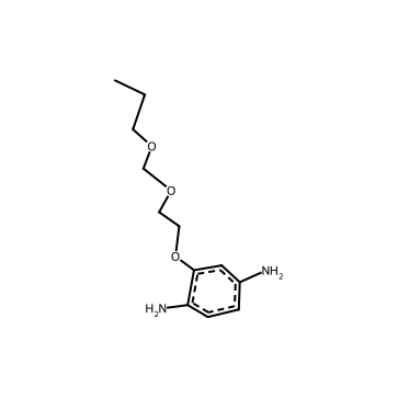 CCCOCOCCOc1cc(N)ccc1N